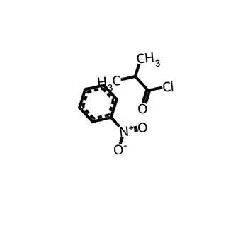 CC(C)C(=O)Cl.O=[N+]([O-])c1ccccc1